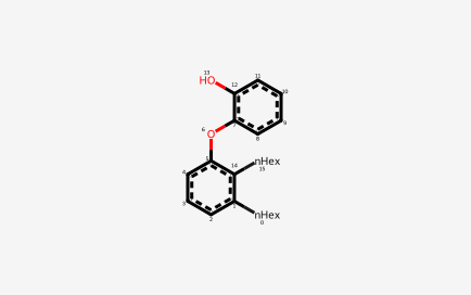 CCCCCCc1cccc(Oc2ccccc2O)c1CCCCCC